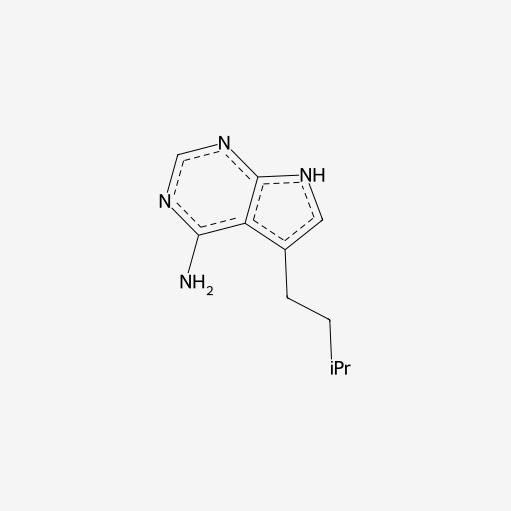 CC(C)CCc1c[nH]c2ncnc(N)c12